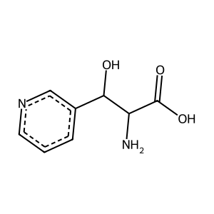 NC(C(=O)O)C(O)c1cccnc1